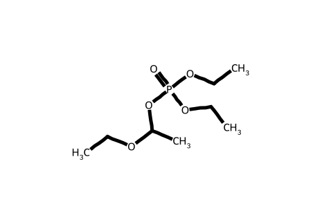 CCOC(C)OP(=O)(OCC)OCC